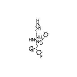 N=C(NCCCc1c[nH]cn1)N(CCC(c1ccc(F)cc1)c1ccccn1)C(=O)OCc1ccccc1